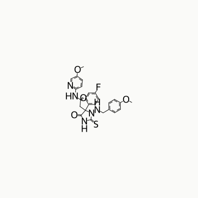 COc1ccc(CNN2C(=S)NC(=O)C2(CC(=O)Nc2ccc(OC)cn2)c2ccc(F)cc2)cc1